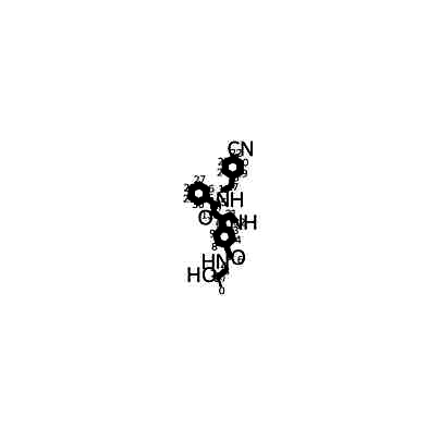 C[C@@H](O)CNC(=O)c1ccc2c(C(=O)[C@H](NCCc3ccc(C#N)cc3)c3ccccc3)c[nH]c2c1